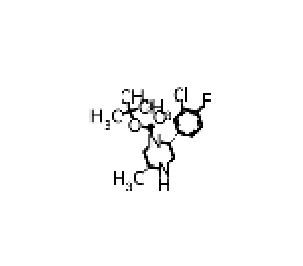 C[C@@H]1CN(C(=O)OC(C)(C)C)[C@H](c2ccc(F)c(Cl)c2)CN1